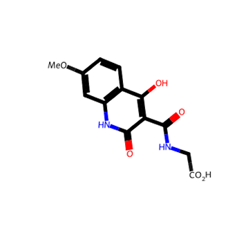 COc1ccc2c(O)c(C(=O)NCC(=O)O)c(=O)[nH]c2c1